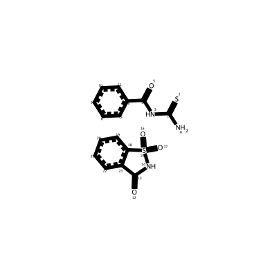 NC(=S)NC(=O)c1ccccc1.O=C1NS(=O)(=O)c2ccccc21